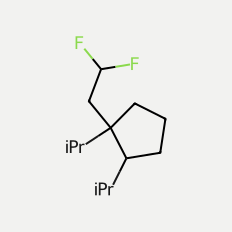 CC(C)C1CCCC1(CC(F)F)C(C)C